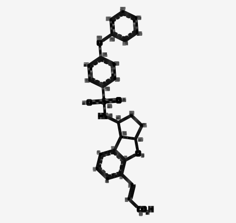 O=C(O)/C=C/c1cccc2c1OC1CCC(NS(=O)(=O)c3ccc(Oc4ccccc4)cc3)C21